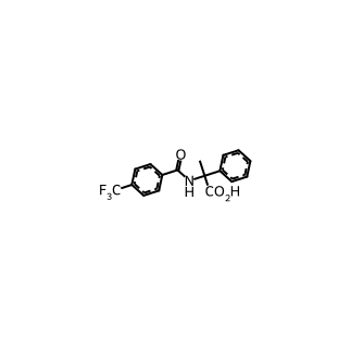 CC(NC(=O)c1ccc(C(F)(F)F)cc1)(C(=O)O)c1ccccc1